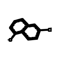 [O]c1cccc2cc(Cl)ccc12